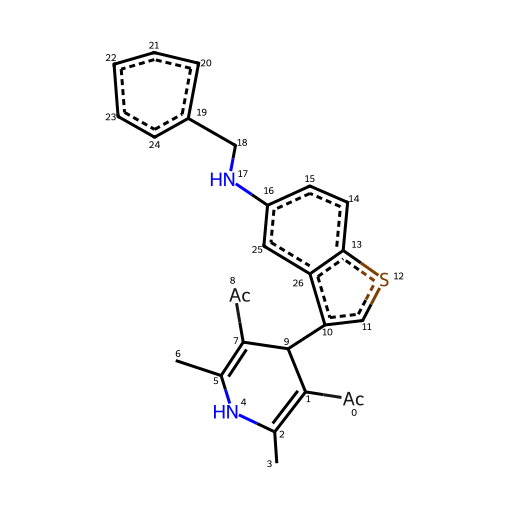 CC(=O)C1=C(C)NC(C)=C(C(C)=O)C1c1csc2ccc(NCc3ccccc3)cc12